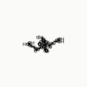 COc1ccccc1Oc1c(OCCOC(=O)OCCCCON(O)O)nc(-c2ncccn2)nc1N(C(C)OC(=O)OCCOCCON(O)O)S(=O)(=O)c1ccc(C(C)(C)C)cc1